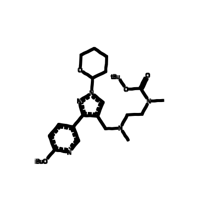 CC(C)COc1ccc(-c2nn(C3CCCCO3)cc2CN(C)CCN(C)C(=O)OC(C)(C)C)cn1